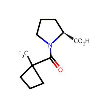 O=C(O)[C@@H]1CCCN1C(=O)C1(C(F)(F)F)CCC1